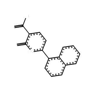 O=C(O)c1ccc(-c2cccc3ccccc23)[nH]c1=O